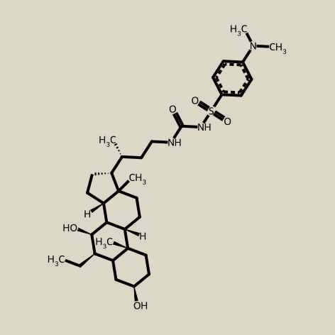 CC[C@@H]1C2C[C@H](O)CC[C@@]2(C)[C@H]2CCC3(C)[C@@H]([C@H](C)CCNC(=O)NS(=O)(=O)c4ccc(N(C)C)cc4)CC[C@H]3C2[C@@H]1O